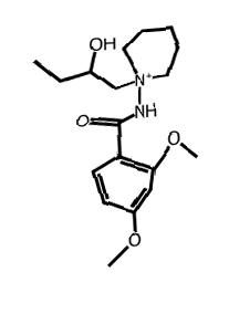 CCC(O)C[N+]1(NC(=O)c2ccc(OC)cc2OC)CCCCC1